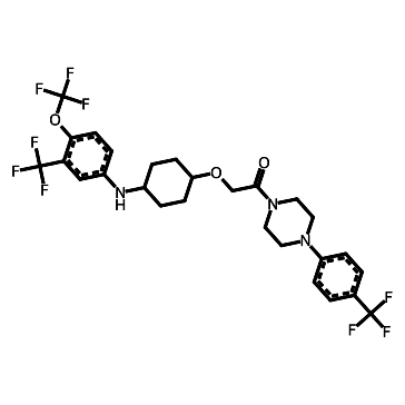 O=C(COC1CCC(Nc2ccc(OC(F)(F)F)c(C(F)(F)F)c2)CC1)N1CCN(c2ccc(C(F)(F)F)cc2)CC1